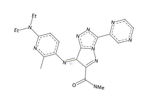 CCN(CC)c1ccc(/N=C2/C(C(=O)NC)=Nn3c2nnc3-c2cnccn2)c(C)n1